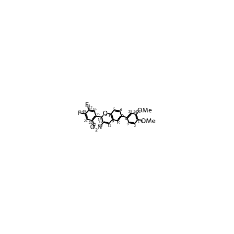 COc1ccc(-c2ccc3c(c2)C=C([N+](=O)[O-])C(c2cc(F)c(F)cc2F)O3)cc1OC